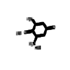 Cl.Cl.NC1=CC(=O)C=C(N)C1=O